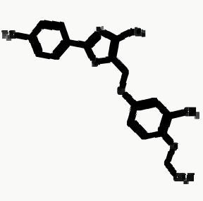 CCCCc1nc(-c2ccc(C(F)(F)F)cc2)sc1COc1ccc(OCC(=O)O)c(C)c1